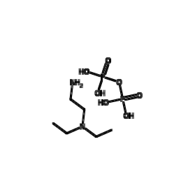 CCN(CC)CCN.O=P(O)(O)OP(=O)(O)O